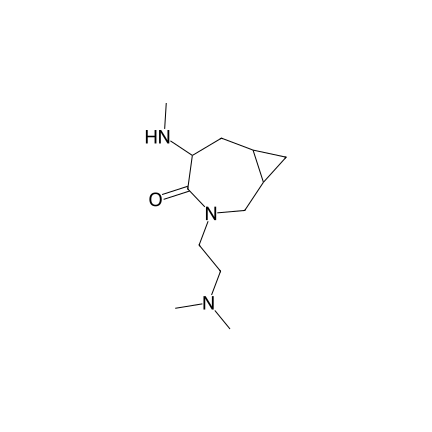 CNC1CC2CC2CN(CCN(C)C)C1=O